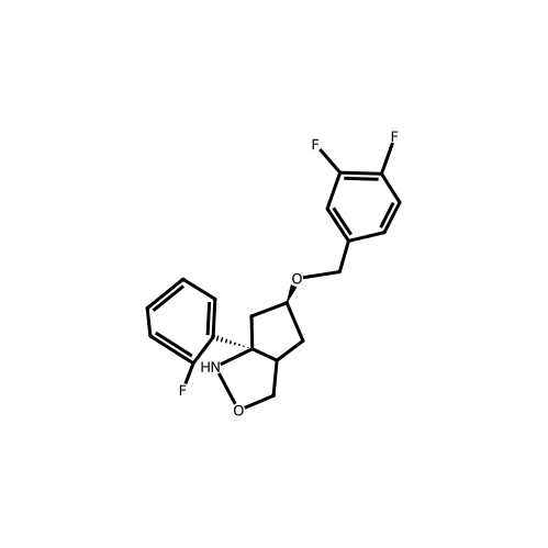 Fc1ccc(CO[C@H]2CC3CON[C@@]3(c3ccccc3F)C2)cc1F